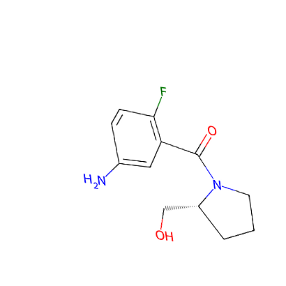 Nc1ccc(F)c(C(=O)N2CCC[C@@H]2CO)c1